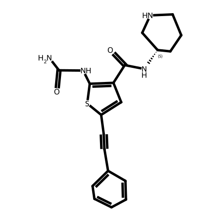 NC(=O)Nc1sc(C#Cc2ccccc2)cc1C(=O)N[C@H]1CCCNC1